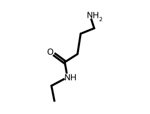 CCNC(=O)CCCN